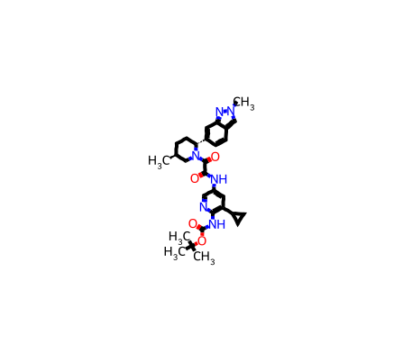 C[C@H]1CC[C@H](c2ccc3cn(C)nc3c2)N(C(=O)C(=O)Nc2cnc(NC(=O)OC(C)(C)C)c(C3CC3)c2)C1